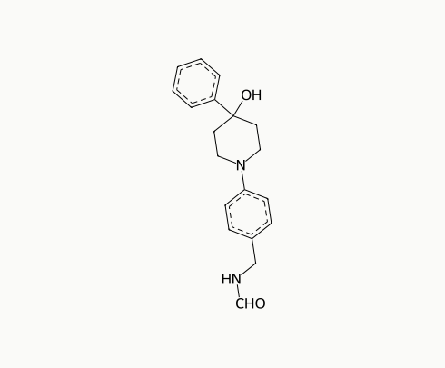 O=CNCc1ccc(N2CCC(O)(c3ccccc3)CC2)cc1